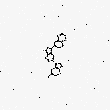 CN1CCn2ncc(-c3cnc4[nH]cc(-c5ccc6nccnc6c5)c4c3)c2C1